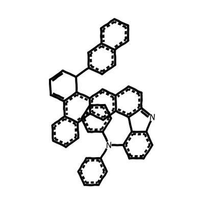 C1=CC(c2ccc3ccccc3c2)c2c(c3ccccc3c3cc4c5c(ccc4cc23)=Nc2cccc(N(c3ccccc3)c3ccccc3)c2-5)=C1